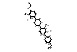 CCOc1ccc(C2CCC(c3ccc(-c4ccc(CO)cc4)c(F)c3F)CC2)c(F)c1F